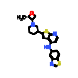 C[C@@H]1OCC1N1CCCC(c2cc3c(Nc4ccc5scnc5c4)ccnc3s2)C1